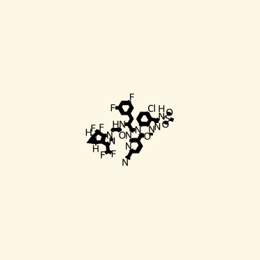 Cn1nc(NS(C)(=O)=O)c2c(Cl)ccc(-n3c(C(Cc4cc(F)cc(F)c4)NC(=O)Cn4nc(C(F)F)c5c4C(F)(F)[C@@H]4C[C@H]54)nc4nc(C#N)ccc4c3=O)c21